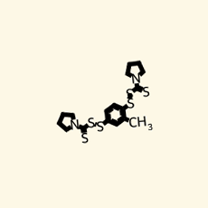 Cc1cc(SSC(=S)N2CCCC2)ccc1SSC(=S)N1CCCC1